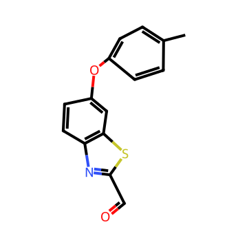 Cc1ccc(Oc2ccc3nc(C=O)sc3c2)cc1